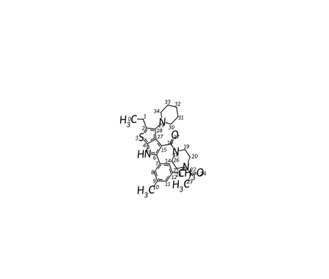 CCc1sc2[nH]c(-c3cc(C)cc(C)c3)c(C(=O)N3CCN(C(C)=O)CC3)c2c1N1CCCCC1